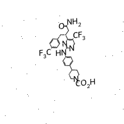 NC(=O)CC(Cc1ccc(C(F)(F)F)cc1)c1nc(Nc2ccc(C3CCN(C(=O)O)CC3)cc2)ncc1C(F)(F)F